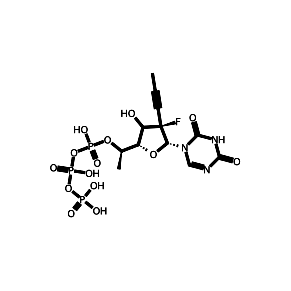 CC#C[C@@]1(F)C(O)[C@@H]([C@@H](C)OP(=O)(O)OP(=O)(O)OP(=O)(O)O)O[C@H]1n1cnc(=O)[nH]c1=O